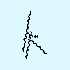 CCCCCCCCCC(CCCCCCCC)OP(O)OC(CCCCCCCC)CCCCCCCCC